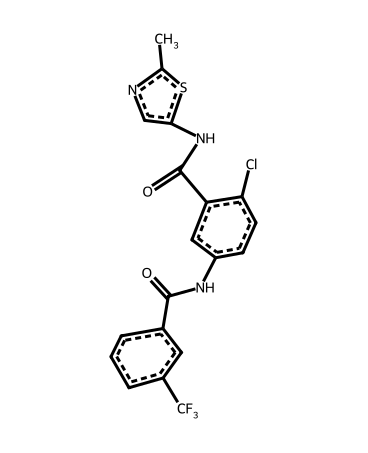 Cc1ncc(NC(=O)c2cc(NC(=O)c3cccc(C(F)(F)F)c3)ccc2Cl)s1